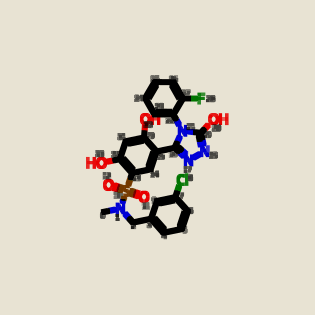 CN(Cc1cccc(Cl)c1)S(=O)(=O)c1cc(-c2nnc(O)n2-c2ccccc2F)c(O)cc1O